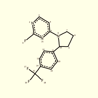 Fc1nccc(N2CCCC2c2ccc(C(F)(F)F)cc2)n1